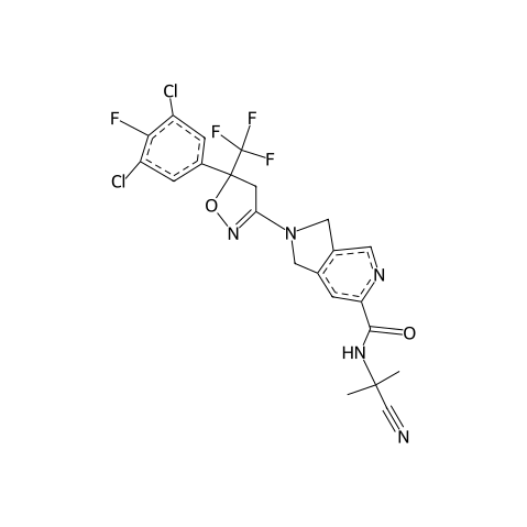 CC(C)(C#N)NC(=O)c1cc2c(cn1)CN(C1=NOC(c3cc(Cl)c(F)c(Cl)c3)(C(F)(F)F)C1)C2